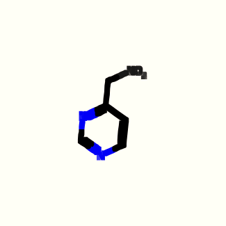 O=[N+]([O-])Cc1ccncn1